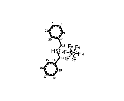 [F][Sb-]([F])([F])([F])([F])[F].c1ccc(C[SH+]Cc2ccccc2)cc1